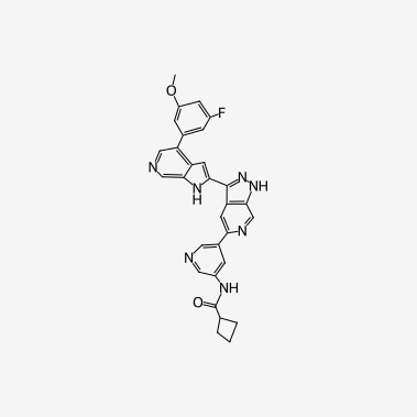 COc1cc(F)cc(-c2cncc3[nH]c(-c4n[nH]c5cnc(-c6cncc(NC(=O)C7CCC7)c6)cc45)cc23)c1